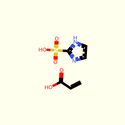 C=CC(=O)O.O=S(=O)(O)c1ncc[nH]1